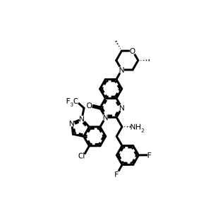 C[C@@H]1CN(c2ccc3c(=O)n(-c4ccc(Cl)c5cnn(CC(F)(F)F)c45)c([C@H](N)Cc4cc(F)cc(F)c4)nc3c2)C[C@H](C)O1